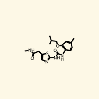 CNC(=O)Cc1cnc(NC(=O)Nc2ccc(C)cc2OCC(C)C)s1